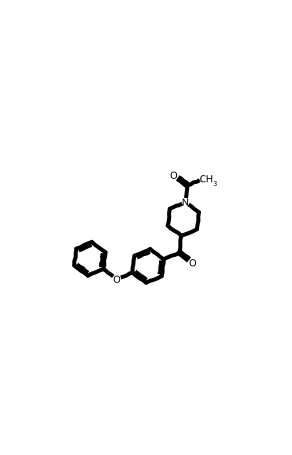 CC(=O)N1CCC(C(=O)c2ccc(Oc3ccccc3)cc2)CC1